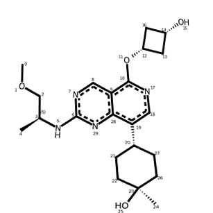 COC[C@H](C)Nc1ncc2c(O[C@H]3C[C@@H](O)C3)ncc([C@H]3CC[C@](C)(O)CC3)c2n1